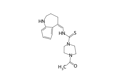 CC(=O)N1CCN(C(=S)N/C=C2/CCCNc3ccccc32)CC1